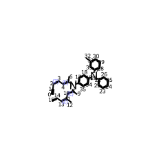 C#C/C=C\C=C(/C)N(/C(C)=C/C(C)=C\C=C)c1ccc(N(c2ccccc2)c2cccc(C)c2)cc1